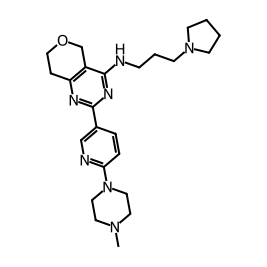 CN1CCN(c2ccc(-c3nc4c(c(NCCCN5CCCC5)n3)COCC4)cn2)CC1